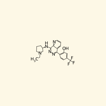 CCN1CCC[C@@H](Nc2nnc(-c3ccc(C(F)(F)F)cc3O)c3cccnc23)C1